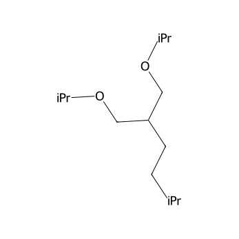 CC(C)CCC(COC(C)C)COC(C)C